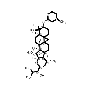 CC(C)[C@@H](O)[C@H]1C[C@@H](C)[C@H]2[C@H](O1)[C@H](C)[C@@]1(C)[C@@H]3CC[C@H]4C(C)(C)[C@@H](O[C@H]5CN(C)CCO5)CCC45C[C@@]35CC[C@]21C